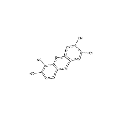 N#Cc1cc2nc3ccc(C#N)c(C#N)c3nc2cc1C#N